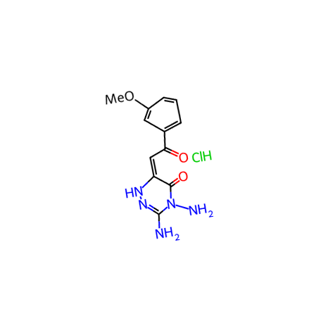 COc1cccc(C(=O)C=C2NN=C(N)N(N)C2=O)c1.Cl